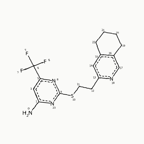 Nc1cc(C(F)(F)F)nc(SCCc2cc3c(cn2)CCCC3)n1